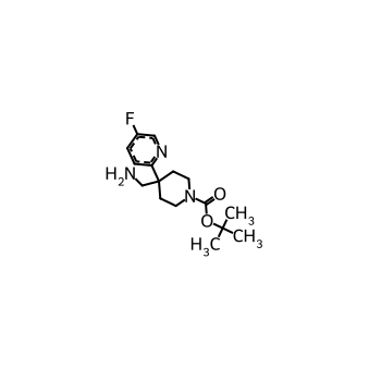 CC(C)(C)OC(=O)N1CCC(CN)(c2ccc(F)cn2)CC1